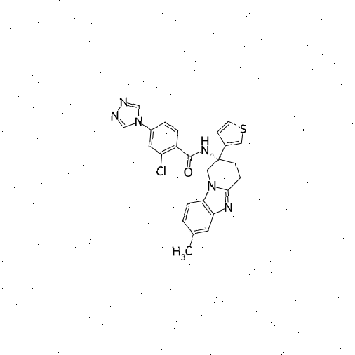 Cc1ccc2c(c1)nc1n2C[C@@](NC(=O)c2ccc(-n3cnnc3)cc2Cl)(c2ccsc2)CC1